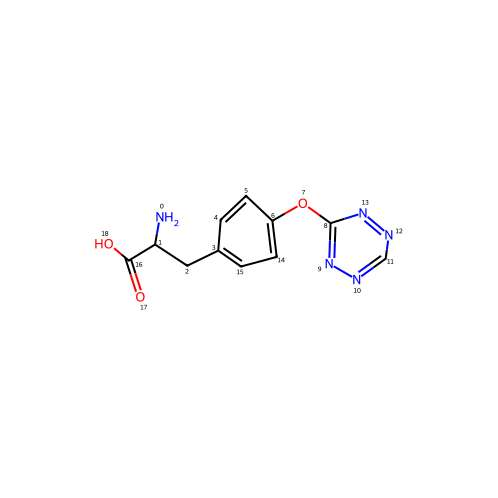 NC(Cc1ccc(Oc2nncnn2)cc1)C(=O)O